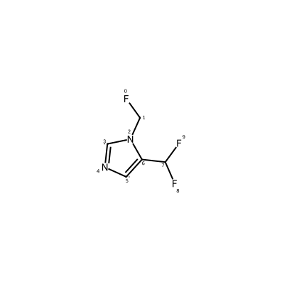 FCn1[c]n[c]c1C(F)F